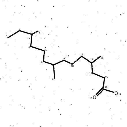 CCC(C)CCCC(C)CCCC(C)CCC([O])=O